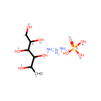 N.N.N.O=CC(O)C(O)C(O)C(O)CO.O=P(O)(O)O